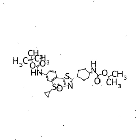 CC(C)OC(=O)N[C@H]1CC[C@H](c2ncc(-c3ccc(NC(=O)OC(C)(C)C)cc3[S+]([O-])C3CC3)s2)CC1